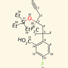 C#CC[C@@](CC(C)(C)c1ccc(F)cc1C(=O)O)(O[Si](CC)(CC)CC)C(F)(F)F